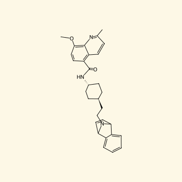 COc1ccc(C(=O)N[C@H]2CC[C@H](CCN3C4C=CC3c3ccccc34)CC2)c2ccc(C)nc12